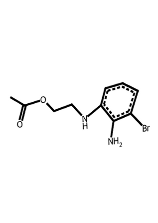 CC(=O)OCCNc1cccc(Br)c1N